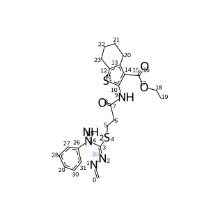 C=N/N=C(/SCCC(=O)Nc1sc2c(c1C(=O)OCC)CCCC2)N(N)c1ccccc1